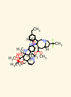 CCc1ccc2[nH]c3c(c2c1)CN1CC(C(C)(F)F)C[C@@H](C1)C[C@]3(C(=O)OC)c1cc2c(cc1OC)N(C)[C@H]1[C@@](O)(C(=O)OC)[C@H](OC(C)=O)[C@]3(CC)C=CCN4CC[C@]21[C@@]43C